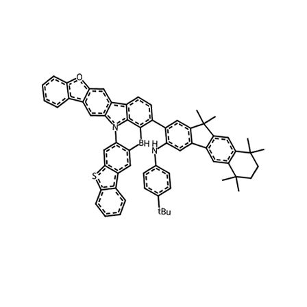 CC(C)(C)c1ccc(Nc2cc3c(cc2-c2ccc4c5cc6oc7ccccc7c6cc5n5c4c2Bc2cc4c(cc2-5)sc2ccccc24)C(C)(C)c2cc4c(cc2-3)C(C)(C)CCC4(C)C)cc1